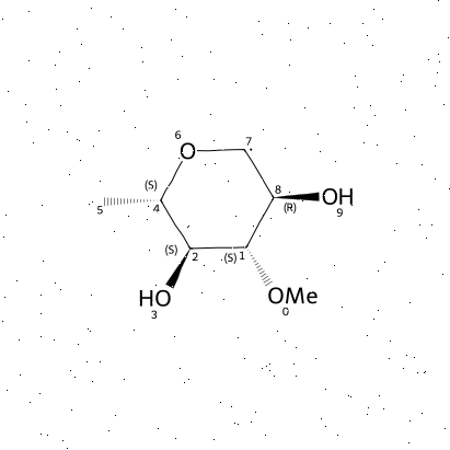 CO[C@@H]1[C@@H](O)[C@H](C)O[CH][C@H]1O